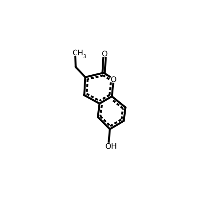 CCc1cc2cc(O)ccc2oc1=O